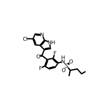 CCCC(C)S(=O)(=O)Nc1ccc(F)c(C(=O)c2c[nH]c3ncc(Cl)cc23)c1F